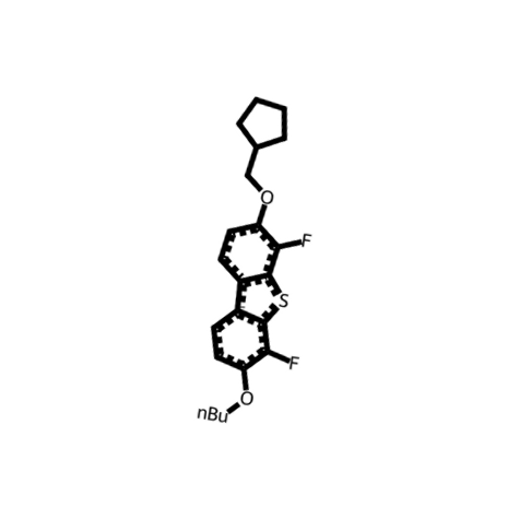 CCCCOc1ccc2c(sc3c(F)c(OCC4CCCC4)ccc32)c1F